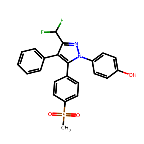 CS(=O)(=O)c1ccc(-c2c(-c3ccccc3)c(C(F)F)nn2-c2ccc(O)cc2)cc1